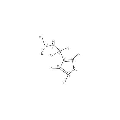 Cc1sc(C)c(C(C)(C)NC(C)C)c1C